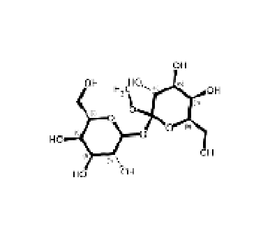 COC1(OC2O[C@H](CO)[C@H](O)[C@H](O)[C@H]2O)O[C@H](CO)[C@H](O)[C@H](O)[C@H]1O